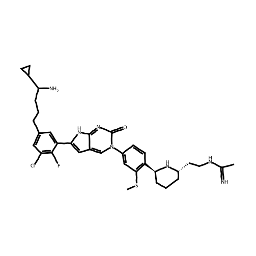 CSc1cc(-n2cc3cc(-c4cc(CCCC(N)C5CC5)cc(Cl)c4F)[nH]c3nc2=O)ccc1[C@@H]1CCC[C@@H](CCNC(C)=N)N1